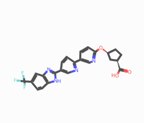 O=C(O)[C@@H]1CC[C@H](Oc2ccc(-c3ccc(-c4nc5cc(C(F)(F)F)ccc5[nH]4)cn3)cn2)C1